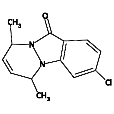 CC1C=CC(C)n2c3cc(Cl)ccc3c(=O)n21